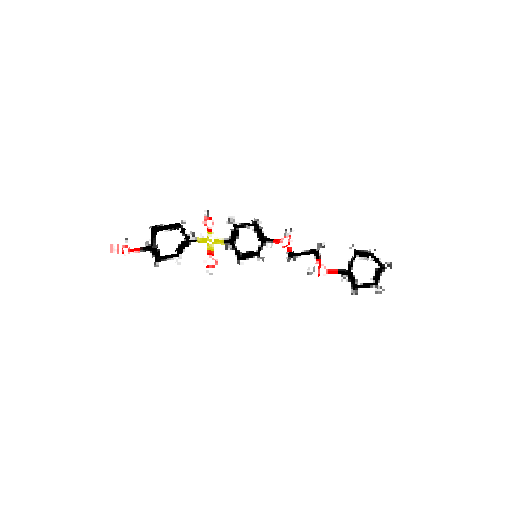 O=S(=O)(c1ccc(O)cc1)c1ccc(OCCOc2ccccc2)cc1